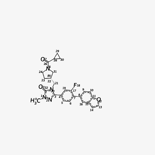 Cn1nc(-c2ccc(-c3ccc4occc4c3)c(F)c2)n(C[C@@H]2CCN(C(=O)C3CC3)C2)c1=O